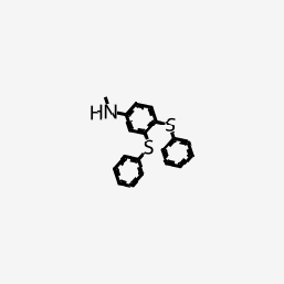 CNc1ccc(Sc2ccccc2)c(Sc2ccccc2)c1